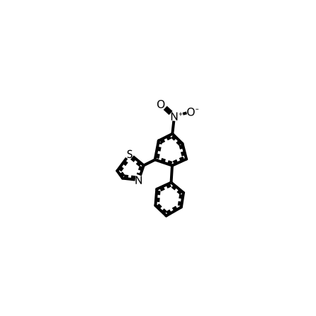 O=[N+]([O-])c1ccc(-c2ccccc2)c(-c2nccs2)c1